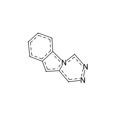 c1ccc2c(c1)cc1cnncn12